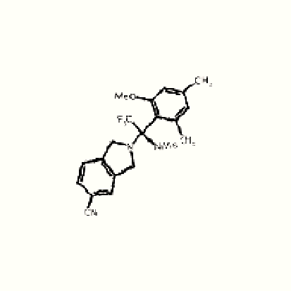 CNC(c1c(C)cc(C)cc1OC)(N1Cc2ccc(C#N)cc2C1)C(F)(F)F